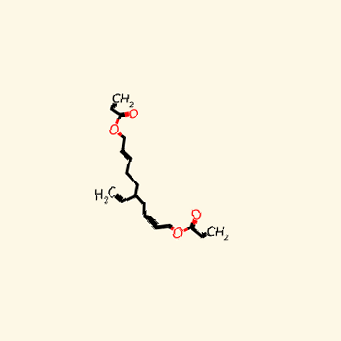 C=CC(=O)OC/C=C\CC(C=C)CC/C=C/COC(=O)C=C